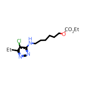 CCOC(=O)OCCCCCCNc1ncnc(CC)c1Cl